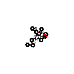 C1#CCC(n2c3ccccc3c3cccc(-n4c5c(c6cccc(-c7nc(-c8ccc9sc%10ccccc%10c9c8)nc(-c8cccc9c8sc8cccc(-c%10ccccc%10)c89)n7)c64)C=CCC5)c32)=CC=C1